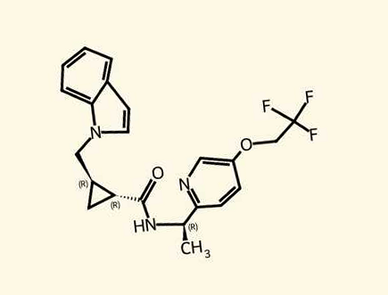 C[C@@H](NC(=O)[C@@H]1C[C@H]1Cn1ccc2ccccc21)c1ccc(OCC(F)(F)F)cn1